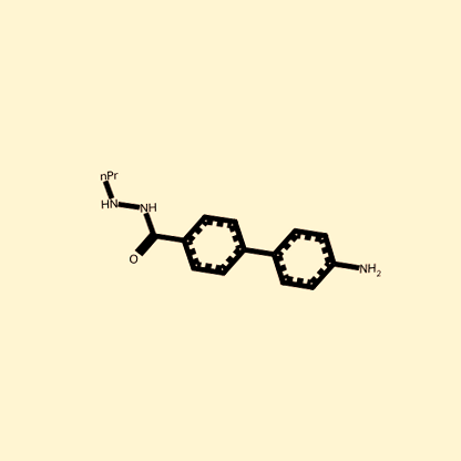 CCCNNC(=O)c1ccc(-c2ccc(N)cc2)cc1